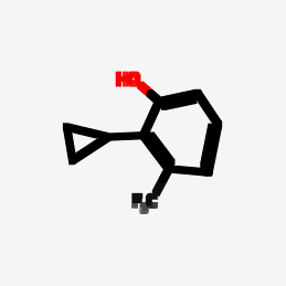 Oc1cccc(C(F)(F)F)c1C1CC1